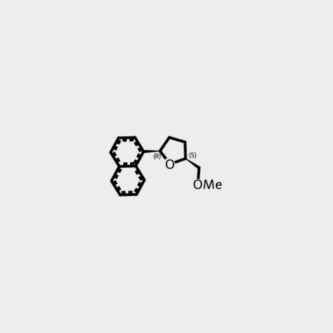 COC[C@@H]1CC[C@H](c2cccc3ccccc23)O1